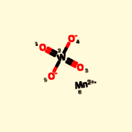 [Mn+2].[O]=[W](=[O])([O-])[O-]